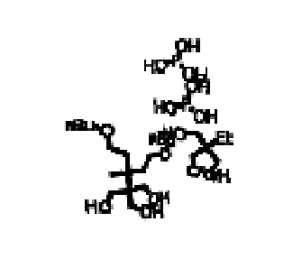 CCC(CO)(CO)CO.CCCCOCCC(C)(CCOCCCC)C(CO)(CO)CO.OP(O)O.OP(O)O